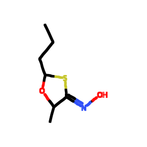 CCCC1OC(C)C(=NO)S1